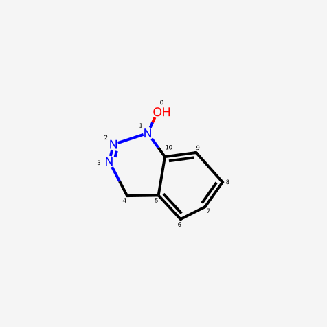 ON1N=NCc2ccccc21